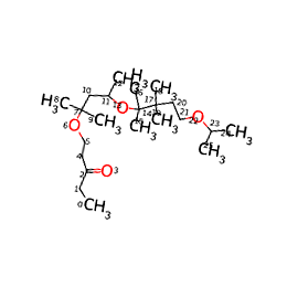 CCC(=O)CCOC(C)(C)CC(C)OC(C)(C)C(C)(C)CCOC(C)C